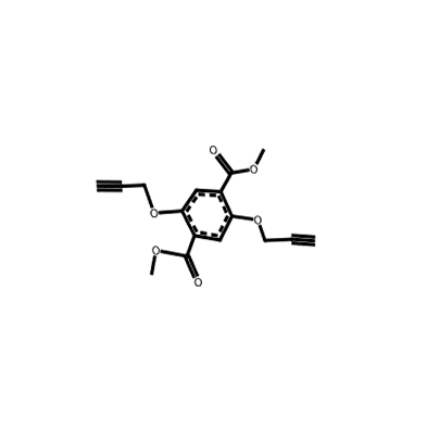 C#CCOc1cc(C(=O)OC)c(OCC#C)cc1C(=O)OC